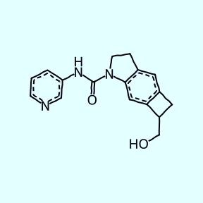 O=C(Nc1cccnc1)N1CCc2cc3c(cc21)C(CO)C3